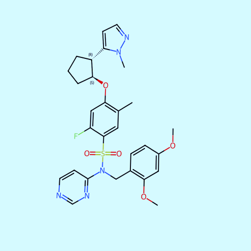 COc1ccc(CN(c2ccncn2)S(=O)(=O)c2cc(C)c(O[C@H]3CCC[C@@H]3c3ccnn3C)cc2F)c(OC)c1